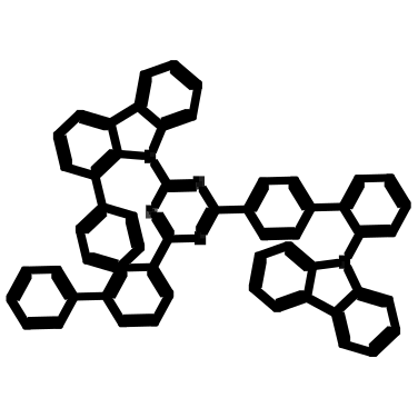 c1ccc(-c2cccc(-c3nc(-c4ccc(-c5ccccc5-n5c6ccccc6c6ccccc65)cc4)nc(-n4c5ccccc5c5cccc(-c6ccccc6)c54)n3)c2)cc1